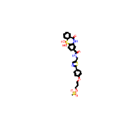 CS(=O)(=O)OCCCOc1ccc(-c2ncc(CNC(=O)c3ccc4c(c3)NC(=O)c3ccccc3S4(O)O)s2)cc1